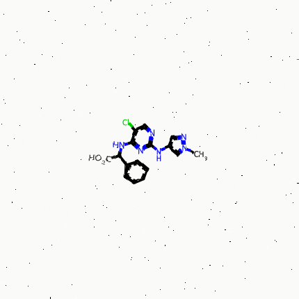 Cn1cc(Nc2ncc(Cl)c(NC(C(=O)O)c3ccccc3)n2)cn1